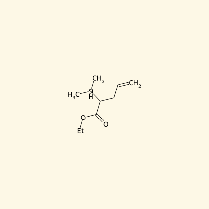 C=CCC(C(=O)OCC)[SiH](C)C